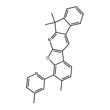 Cc1ccnc(-c2c(C)ccc3c2oc2nc4c(cc23)-c2ccccc2C4(C)C)c1